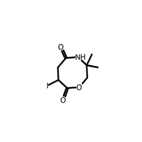 CC1(C)COC(=O)C(I)CC(=O)N1